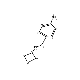 Nc1ccc(SNC2COC2)cc1